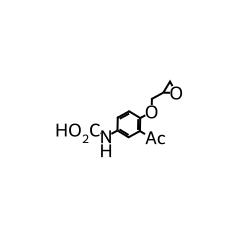 CC(=O)c1cc(NC(=O)O)ccc1OCC1CO1